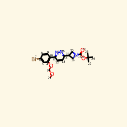 COCOc1cc(Br)ccc1-c1ccc(C2CN(C(=O)OC(C)(C)C)C2)nn1